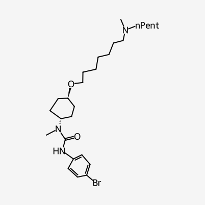 CCCCCN(C)CCCCCCCO[C@H]1CC[C@H](N(C)C(=O)Nc2ccc(Br)cc2)CC1